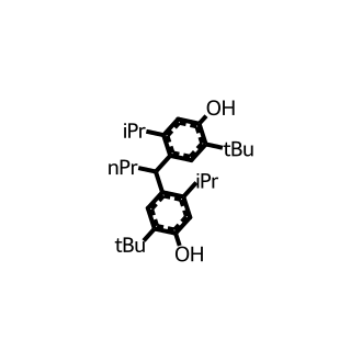 CCCC(c1cc(C(C)(C)C)c(O)cc1C(C)C)c1cc(C(C)(C)C)c(O)cc1C(C)C